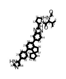 CC(C)C(NC=O)C(=O)N1CCCC1c1nc2cc(-c3ccc(-c4ccc(-c5cnc[nH]5)cc4)c4c3CCC43CCCC3)ccc2[nH]1